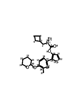 CCN(CC1CCC1)C(=O)Oc1ccsc1-c1ccc(OC2CCCCO2)c(C)n1